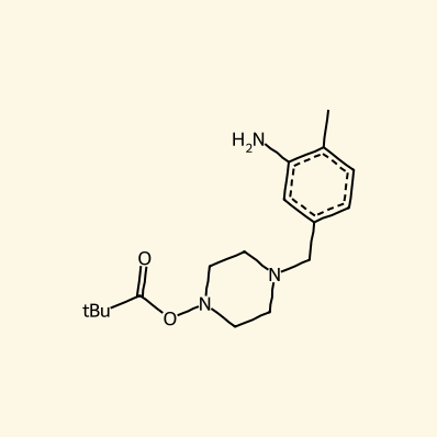 Cc1ccc(CN2CCN(OC(=O)C(C)(C)C)CC2)cc1N